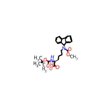 COC(=O)N(CCCC[C@H](NC(=O)OC(C)(C)C)C(=O)O)C1c2ccccc2-c2ccccc21